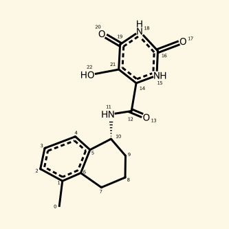 Cc1cccc2c1CCC[C@H]2NC(=O)c1[nH]c(=O)[nH]c(=O)c1O